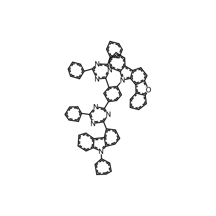 c1ccc(-c2nc(-c3ccccc3)nc(-c3cc(-c4nc(-c5ccccc5)nc(-c5cccc6c5c5ccccc5n6-c5ccccc5)n4)ccc3-n3c4ccccc4c4ccc5oc6ccccc6c5c43)n2)cc1